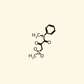 CN(C(=O)C(=O)CS(C)(=O)=O)c1ccccc1